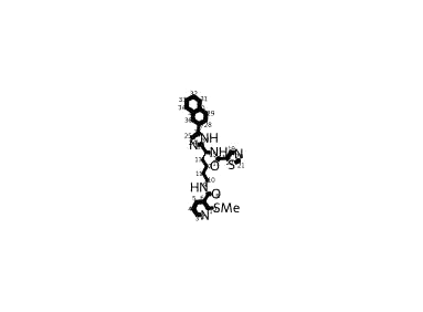 CSc1ncccc1C(=O)NCCCC[C@H](NC(=O)c1cncs1)c1ncc(-c2ccc3ccccc3c2)[nH]1